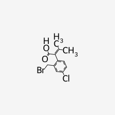 CC(C)=C(C(=O)O)c1ccc(Cl)cc1CBr